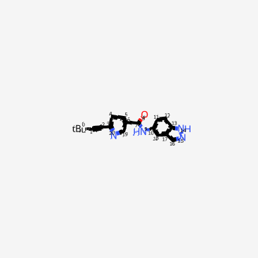 CC(C)(C)C#Cc1ccc(C(=O)Nc2ccc3[nH]ncc3c2)cn1